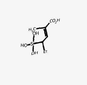 CCC(C=C(C)C(=O)O)[Si](O)(O)O